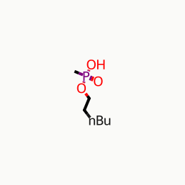 CCCCCCOP(C)(=O)O